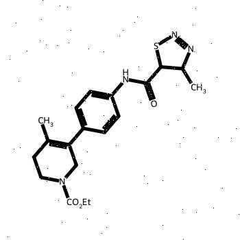 CCOC(=O)N1CCC(C)=C(c2ccc(NC(=O)C3SN=NC3C)cc2)C1